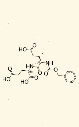 O=C(O)CC[C@@H](NC(=O)[C@@H](CCC(=O)O)NC(=O)OCc1ccccc1)C(=O)O